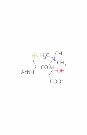 CC(=O)NC(CS)C(=O)O.C[N+](C)(C)CC(O)CC(=O)[O-]